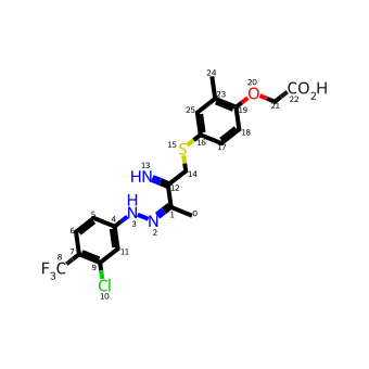 C/C(=N/Nc1ccc(C(F)(F)F)c(Cl)c1)C(=N)CSc1ccc(OCC(=O)O)c(C)c1